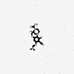 CN(C)/C=N/c1cc2c(c(F)c1C#N)N1CCN(C(=O)O)[C@H](CO2)C1